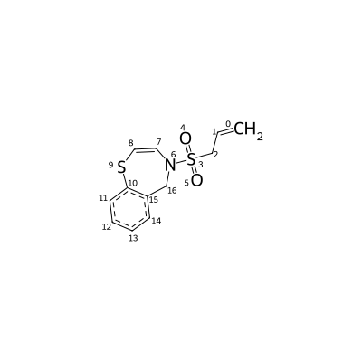 C=CCS(=O)(=O)N1C=CSc2ccccc2C1